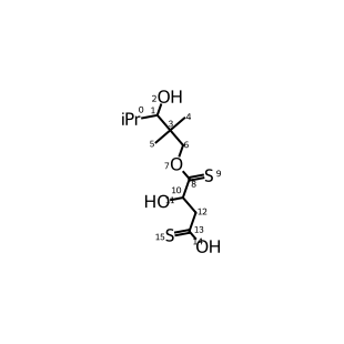 CC(C)C(O)C(C)(C)COC(=S)C(O)CC(O)=S